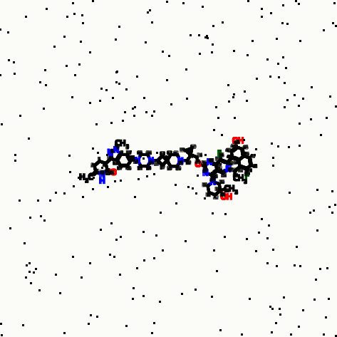 C=C1CCC(c2nn(C)c3cc(N4CCN(C5CC6(CCN(CC7(COc8nc(N9CCC[C@@](C)(O)C9)c9cnc(-c%10cc(O)cc%11ccc(F)c(CC)c%10%11)c(F)c9n8)CC7)CC6)C5)CC4)ccc23)C(=O)N1